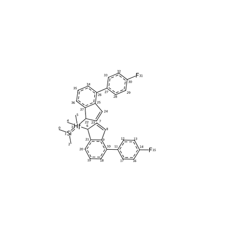 C[Si](C)=[Hf]([CH3])([CH3])([CH]1C=Cc2c(-c3ccc(F)cc3)cccc21)[CH]1C=Cc2c(-c3ccc(F)cc3)cccc21